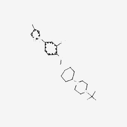 Cc1cnn(-c2ccc(OC[C@H]3CC[C@H](N4CCN(C(C)(C)C)CC4)CC3)c(F)c2)c1